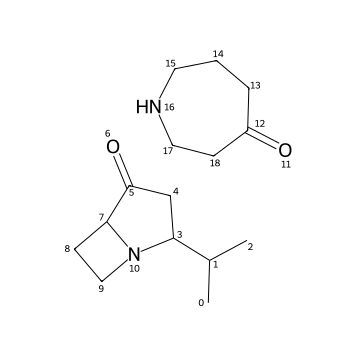 CC(C)C1CC(=O)C2CCN21.O=C1CCCNCC1